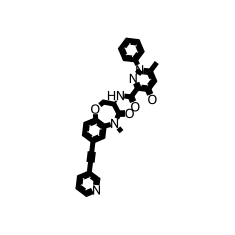 Cc1cc(=O)c(C(=O)N[C@H]2COc3ccc(C#Cc4cccnc4)cc3N(C)C2=O)nn1-c1ccccc1